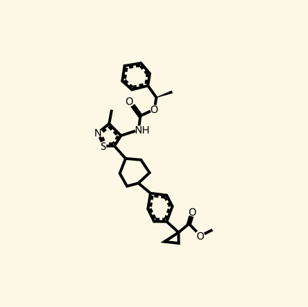 COC(=O)C1(c2ccc(C3CCC(c4snc(C)c4NC(=O)O[C@H](C)c4ccccc4)CC3)cc2)CC1